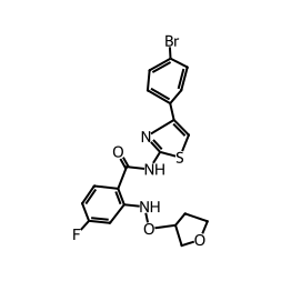 O=C(Nc1nc(-c2ccc(Br)cc2)cs1)c1ccc(F)cc1NOC1CCOC1